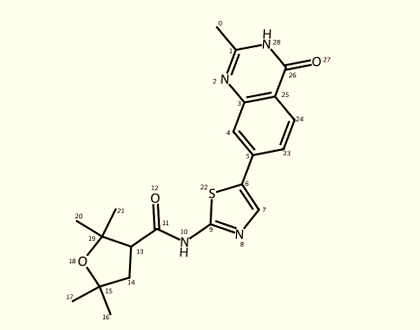 Cc1nc2cc(-c3cnc(NC(=O)C4CC(C)(C)OC4(C)C)s3)ccc2c(=O)[nH]1